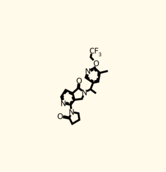 Cc1cc(C(C)N2Cc3c(ccnc3N3CCCC3=O)C2=O)cnc1OCC(F)(F)F